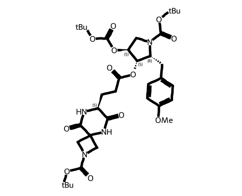 COc1ccc(C[C@@H]2[C@H](OC(=O)CC[C@@H]3NC(=O)C4(CN(C(=O)OC(C)(C)C)C4)NC3=O)[C@@H](OC(=O)OC(C)(C)C)CN2C(=O)OC(C)(C)C)cc1